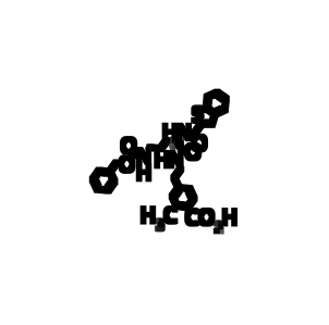 Cc1cc(CCNC(=O)[C@H](CCCNC(=O)OCc2ccccc2)NC(=O)c2cc3ccccc3s2)ccc1C(=O)O